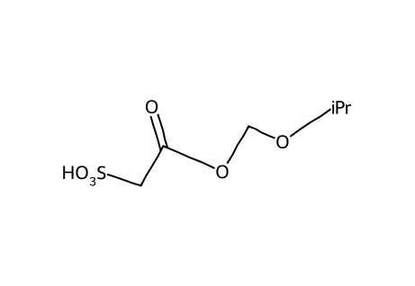 CC(C)OCOC(=O)CS(=O)(=O)O